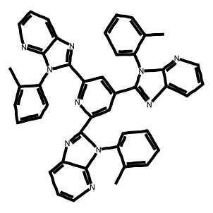 Cc1ccccc1-n1c(-c2cc(-c3nc4cccnc4n3-c3ccccc3C)nc(-c3nc4cccnc4n3-c3ccccc3C)c2)nc2cccnc21